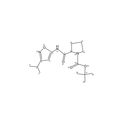 CC(C)c1cc(NC(=O)C2CCCN2C(=O)OC(C)(C)C)on1